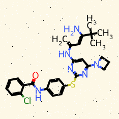 C=C(/C=C(\N)C(C)(C)C)Nc1cc(N2CCC2)nc(Sc2ccc(NC(=O)c3ccccc3Cl)cc2)n1